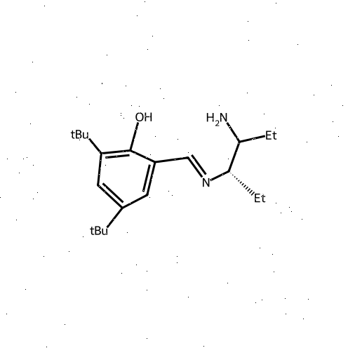 CCC(N)[C@H](CC)/N=C/c1cc(C(C)(C)C)cc(C(C)(C)C)c1O